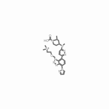 CC1CC(N(C)c2ccc(-c3ccc(-n4cccn4)c4nnn(COCC[Si](C)(C)C)c34)nn2)CCN1C(=O)O